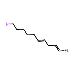 CCC=CCC=CCCCCCI